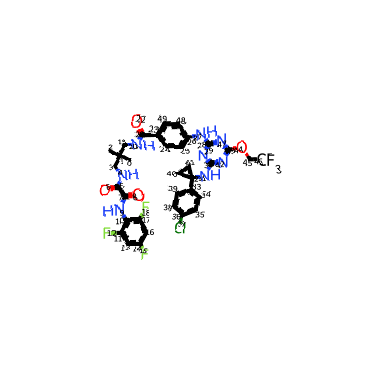 CC(C)(CNC(=O)C(=O)Nc1c(F)cc(F)cc1F)CNC(=O)c1ccc(Nc2nc(NC3(c4ccc(Cl)cc4)CC3)nc(OCC(F)(F)F)n2)cc1